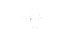 CCCCCCC(CCCCCC)(C(=O)O)C(=O)OC(C)CC